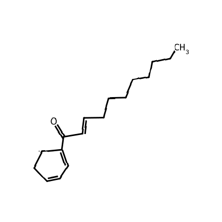 CCCCCCCCC=CC(=O)C1=CC=CC[CH]1